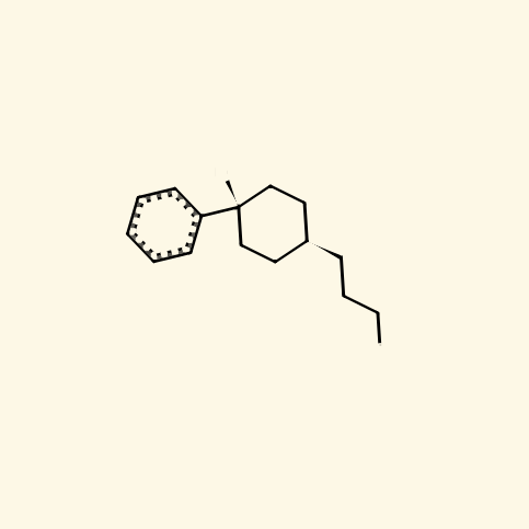 CCCC[C@H]1CC[C@](O)(c2ccccc2)CC1